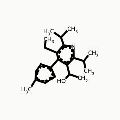 CCc1c(C(C)C)nc(C(C)C)c(C(C)O)c1-c1ccc(C)cc1